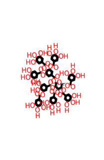 O=C(OC[C@H]1O[C@@H](OC(=O)c2cc(OC(=O)c3cc(O)c(O)c(O)c3)c(OC(=O)c3cc(O)c(O)c(O)c3)c(OC(=O)c3cc(O)c(O)c(O)c3)c2)[C@H](OC(=O)c2cc(O)c(O)c(OC(=O)c3cc(O)c(O)c(O)c3)c2)[C@@H](OC(=O)c2cc(O)c(O)c(O)c2)[C@@H]1OC(=O)c1cc(O)c(O)c(O)c1)c1cc(O)c(O)c(O)c1